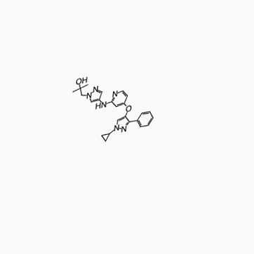 CC(C)(O)Cn1cc(Nc2cc(Oc3cn(C4CC4)nc3-c3ccccc3)ccn2)cn1